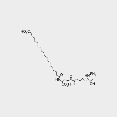 C=C(O)[C@H](CCCCNC(=O)CC[C@H](NC(=O)CCCCCCCCCCCCCCCCCCC(=O)O)C(=O)O)NP